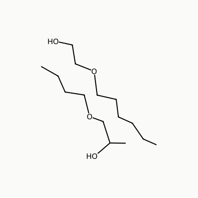 CCCCCCOCCO.CCCCOCC(C)O